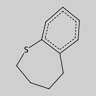 c1ccc2c(c1)CCCCS2